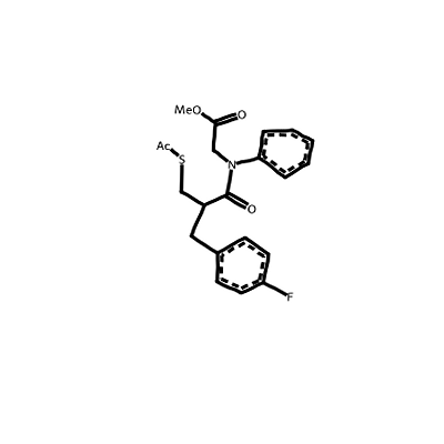 COC(=O)CN(C(=O)C(CSC(C)=O)Cc1ccc(F)cc1)c1ccccc1